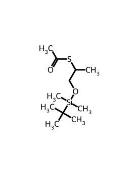 CC(=O)SC(C)CO[Si](C)(C)C(C)(C)C